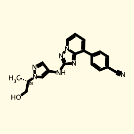 C[C@@H](CO)n1cc(Nc2nc3c(-c4ccc(C#N)cc4)cccn3n2)cn1